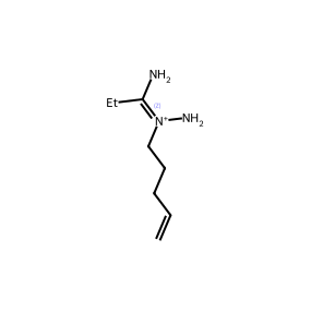 C=CCCC/[N+](N)=C(/N)CC